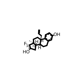 C=CC[C@]12CC[C@]3(C)[C@@H](F)[C@H](O)C[C@H]3[C@@H]1CCc1cc(O)ccc12